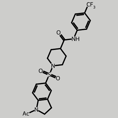 CC(=O)N1CCc2cc(S(=O)(=O)N3CCC(C(=O)Nc4ccc(C(F)(F)F)cc4)CC3)ccc21